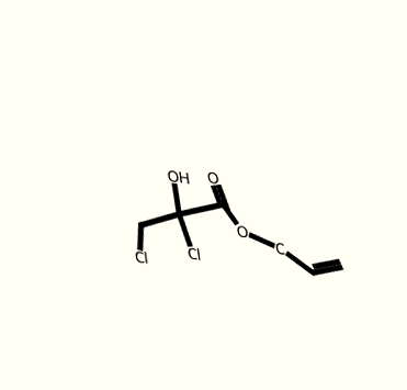 C=CCOC(=O)C(O)(Cl)CCl